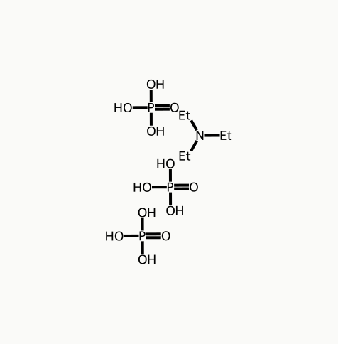 CCN(CC)CC.O=P(O)(O)O.O=P(O)(O)O.O=P(O)(O)O